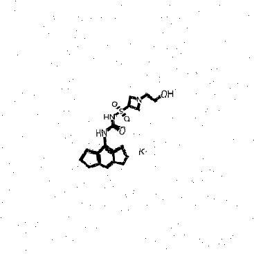 O=C(Nc1c2c(cc3c1CCC3)CCC2)NS(=O)(=O)C1CN(CCO)C1.[K]